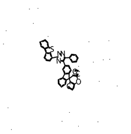 c1ccc(-c2nnc(-c3cccc4c3sc3ccccc34)nc2-c2ccc3c(c2)-c2ccccc2C32c3ccccc3Oc3ccccc32)cc1